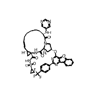 O=C1N[C@]2(C(=O)NS(=O)(=O)C3CC3)C[C@H]2/C=C\CCCCC[C@H](Nc2cncnc2)C(=O)N2C[C@H](Oc3nc(-c4ccc(C(F)(F)F)cc4)nc4c3oc3ccccc34)C[C@@H]12